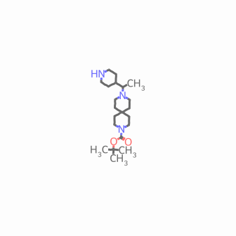 CC(C1CCNCC1)N1CCC2(CCN(C(=O)OC(C)(C)C)CC2)CC1